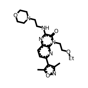 CCOCCn1c(=O)c(NCCN2CCOCC2)nc2ccc(-c3c(C)noc3C)nc21